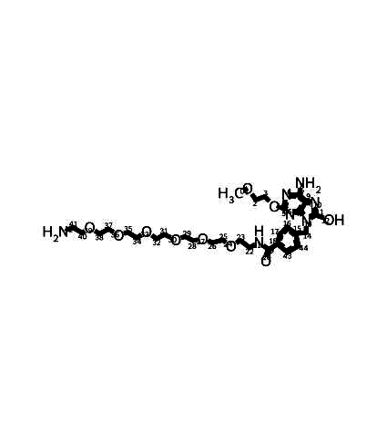 COCCOc1nc(N)c2nc(O)n(Cc3ccc(C(=O)NCCOCCOCCOCCOCCOCCOCCN)cc3)c2n1